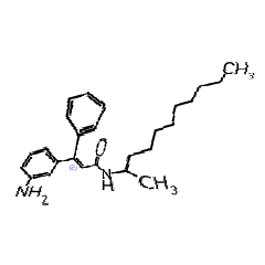 CCCCCCCCCC(C)NC(=O)/C=C(\c1ccccc1)c1cccc(N)c1